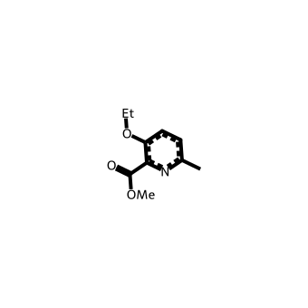 CCOc1ccc(C)nc1C(=O)OC